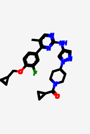 Cc1cnc(Nc2cnn(C3CCN(C(=O)C4CC4)CC3)c2)nc1-c1ccc(OCC2CC2)c(F)c1